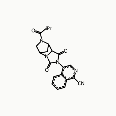 CC(C)C(=O)N1CC2CC1C1C(=O)N(c3cnc(C#N)c4ccccc34)C(=O)N21